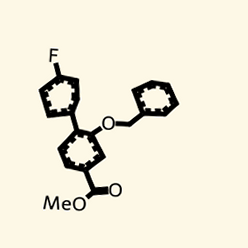 COC(=O)c1ccc(-c2ccc(F)cc2)c(OCc2ccccc2)c1